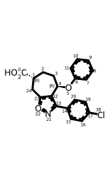 O=C(O)[C@@H]1CC[C@@H](Oc2ccccc2)c2c(-c3ccc(Cl)cc3)noc2C1